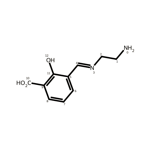 NCCN=Cc1cccc(C(=O)O)c1O